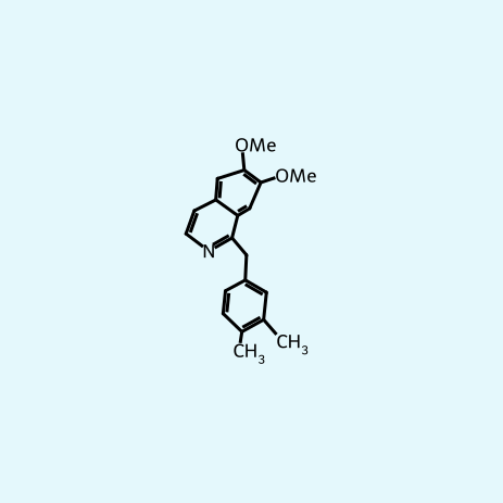 COc1cc2ccnc(Cc3ccc(C)c(C)c3)c2cc1OC